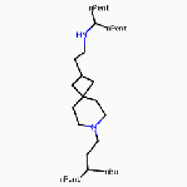 CCCCCC(CCCC)CCN1CCC2(CC1)CC(CCNC(CCCCC)CCCCC)C2